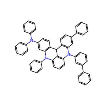 c1ccc(-c2cccc(N3c4cc(-c5ccccc5)ccc4C4c5ccc(N(c6ccccc6)c6ccccc6)cc5N(c5ccccc5)c5cccc3c54)c2)cc1